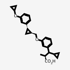 C[C@H](C(=O)O)C(c1cccc(OC[C@H]2C[C@@H]2c2cccc(OC3CC3)c2)c1)C1CC1